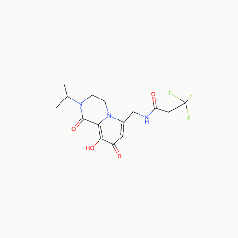 CC(C)N1CCn2c(CNC(=O)CC(F)(F)F)cc(=O)c(O)c2C1=O